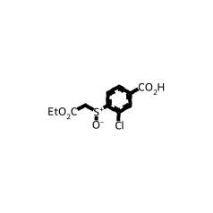 CCOC(=O)C[S+]([O-])c1ccc(C(=O)O)cc1Cl